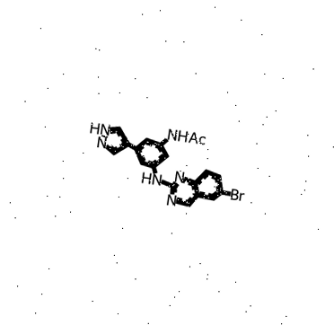 CC(=O)Nc1cc(Nc2ncc3cc(Br)ccc3n2)cc(-c2cn[nH]c2)c1